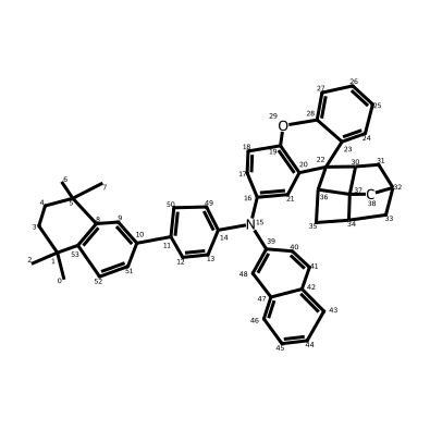 CC1(C)CCC(C)(C)c2cc(-c3ccc(N(c4ccc5c(c4)C4(c6ccccc6O5)C5CC6CC7CC4C75C6)c4ccc5ccccc5c4)cc3)ccc21